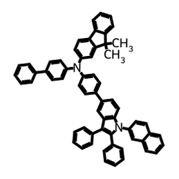 CC1(C)c2ccccc2-c2ccc(N(c3ccc(-c4ccccc4)cc3)c3ccc(-c4ccc5c(c4)c(-c4ccccc4)c(-c4ccccc4)n5-c4ccc5ccccc5c4)cc3)cc21